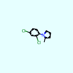 Cc1cccn1-c1ccc(Cl)cc1Cl